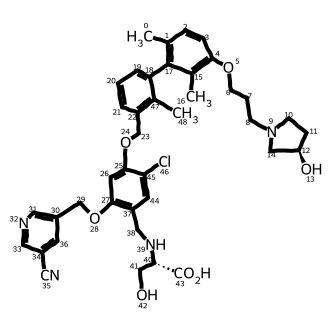 Cc1ccc(OCCCN2CC[C@@H](O)C2)c(C)c1-c1cccc(COc2cc(OCc3cncc(C#N)c3)c(CN[C@@H](CO)C(=O)O)cc2Cl)c1C